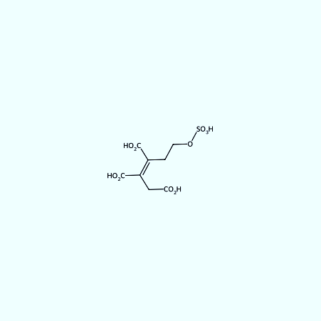 O=C(O)CC(C(=O)O)=C(CCOS(=O)(=O)O)C(=O)O